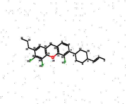 C/C=C/C1CCC(c2ccc3c(c2F)Oc2c(cc(CCC)c(F)c2F)C3)CC1